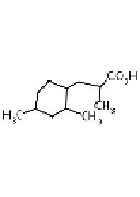 CC1CCC(CC(C)C(=O)O)C(C)C1